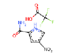 NC(=O)c1cc([N+](=O)[O-])c[nH]1.O=C(O)C(F)(F)F